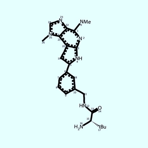 CNc1nc2[nH]c(-c3cccc(CNC(=O)[C@@H](N)C(C)(C)C)c3)cc2c2c1ncn2C